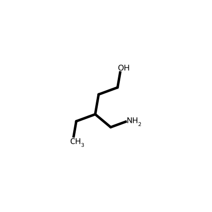 CCC(CN)CCO